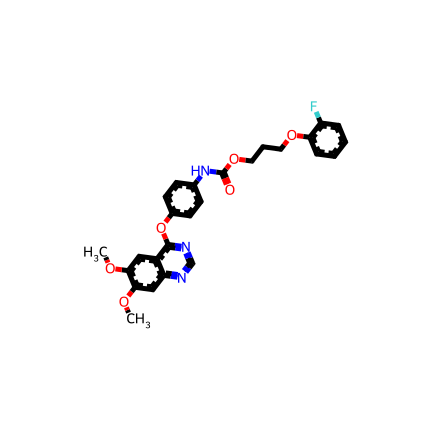 COc1cc2ncnc(Oc3ccc(NC(=O)OCCCOc4ccccc4F)cc3)c2cc1OC